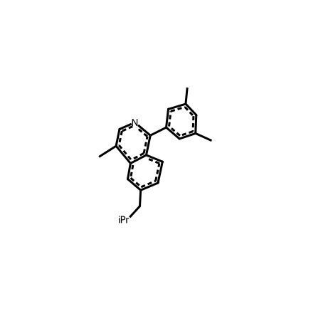 Cc1cc(C)cc(-c2ncc(C)c3cc(CC(C)C)ccc23)c1